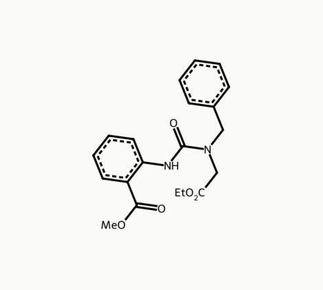 CCOC(=O)CN(Cc1ccccc1)C(=O)Nc1ccccc1C(=O)OC